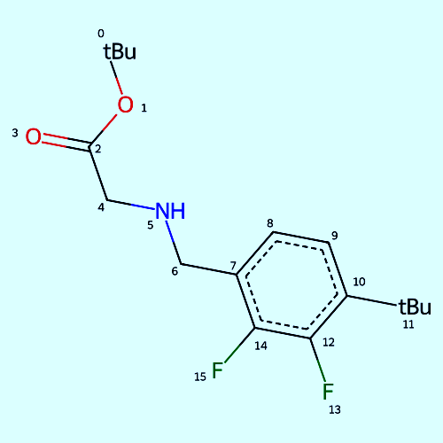 CC(C)(C)OC(=O)CNCc1ccc(C(C)(C)C)c(F)c1F